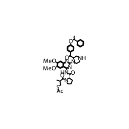 COc1cc2nc(N3CCNCC3C(=O)c3ccc(OC(C)c4ccccc4)cc3)nc(NC(=O)[C@@H]3CCCN3C(=O)C(C)CSC(C)=O)c2cc1OC